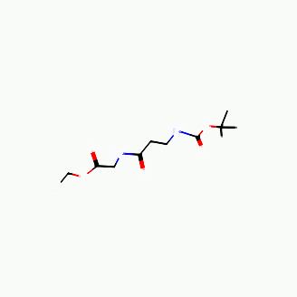 CCOC(=O)CNC(=O)CCNC(=O)OC(C)(C)C